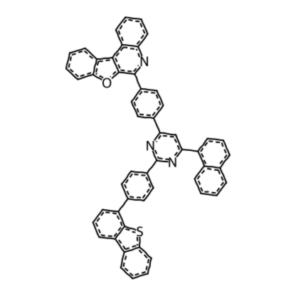 c1ccc2c(-c3cc(-c4ccc(-c5nc6ccccc6c6c5oc5ccccc56)cc4)nc(-c4ccc(-c5cccc6c5sc5ccccc56)cc4)n3)cccc2c1